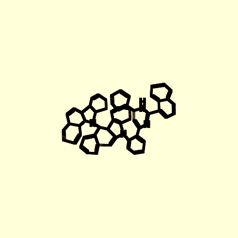 C1=CC2C=CC3C4C=CCCC4N(C4c5ccccc5C=C5C4C4=C(CCC=C4)N5c4ccccc4C4=CC(c5ccccc5)NC(c5cccc6ccccc56)=N4)C3C2C=C1